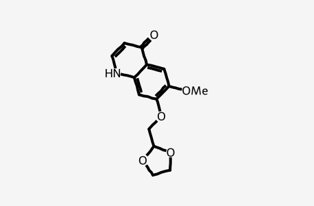 COc1cc2c(=O)cc[nH]c2cc1OCC1OCCO1